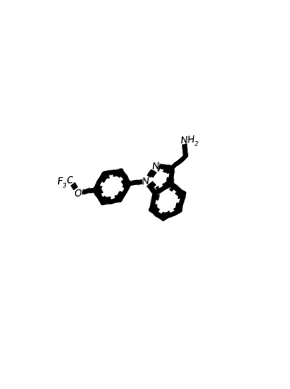 NCc1nn(-c2ccc(OC(F)(F)F)cc2)c2ccccc12